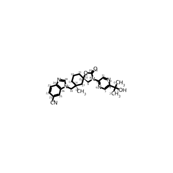 CC(C)(O)c1cnc(N2C[C@@]3(CCC[C@](C)(Cn4cnc5ccc(C#N)cc54)C3)OC2=O)cn1